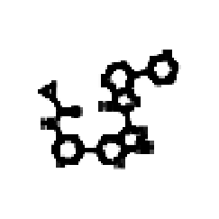 O=C(Nc1cncc(-c2cnc3[nH]nc(-c4nc5c(-c6cccnc6)ccnc5[nH]4)c3c2)c1)C1CC1